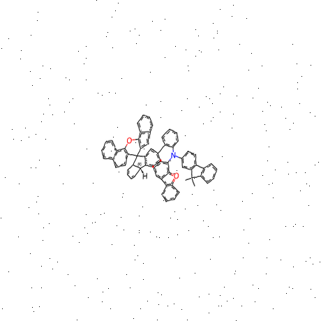 CC1(C)c2ccccc2-c2ccc(N(c3ccccc3-c3ccc4c(c3)C3(c5ccc6ccccc6c5Oc5c3ccc3ccccc53)C3C=CC=C[C@@H]43)c3cccc4c3oc3ccccc34)cc21